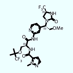 COC[C@H](c1ccnc(NC(=O)[C@H](COC(C)(C)C(F)(F)F)NC(=O)c2ccnn2C)c1)N1C[C@@H](C(F)(F)F)NC1=O